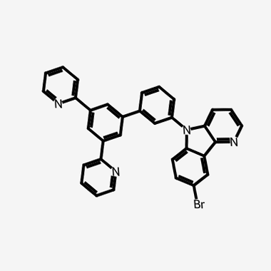 Brc1ccc2c(c1)c1ncccc1n2-c1cccc(-c2cc(-c3ccccn3)cc(-c3ccccn3)c2)c1